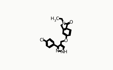 CCN1Cc2cc(OCc3c[nH]nc3-c3ccc(Cl)cc3)ccc2C1=O